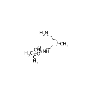 CC(CCCCN)CCCCNC(=O)OC(C)(C)C